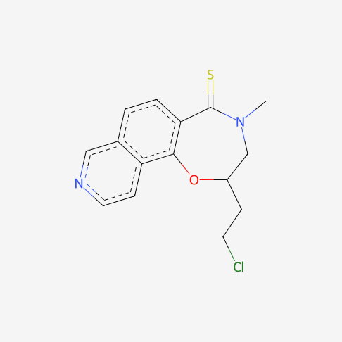 CN1CC(CCCl)Oc2c(ccc3cnccc23)C1=S